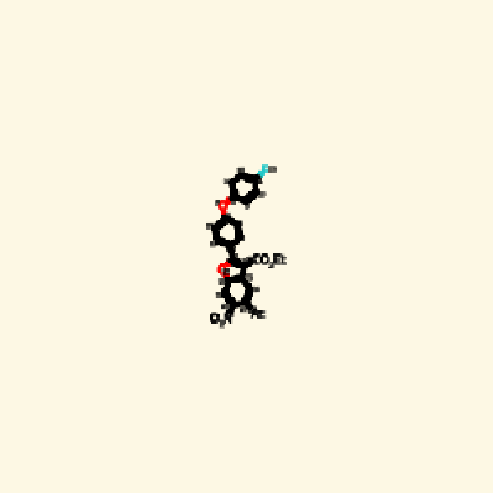 CCOC(=O)c1c(-c2ccc(Oc3ccc(F)cc3)cc2)oc2cc([N+](=O)[O-])c(C(C)=O)cc12